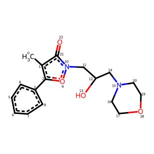 Cc1c(-c2ccccc2)on(CC(O)CN2CCOCC2)c1=O